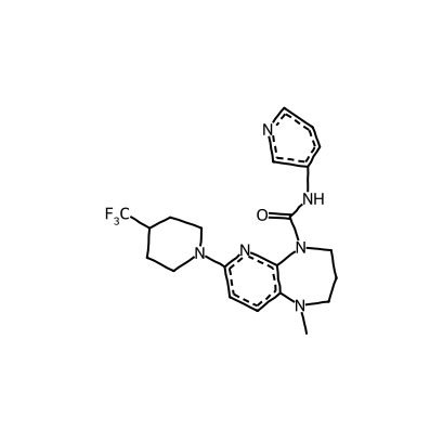 CN1CCCN(C(=O)Nc2cccnc2)c2nc(N3CCC(C(F)(F)F)CC3)ccc21